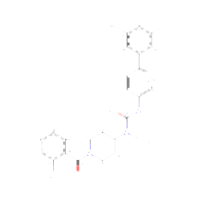 C=C(/C=C\C(=C/N)NC(=O)N(C)C1CCN(C(=O)c2ccccc2I)CC1)c1cc(F)cc(F)c1